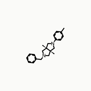 Cc1ccc(N2C[C@]3(C)CN(Cc4ccccc4)C[C@]3(C)C2)cc1